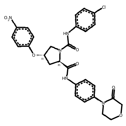 O=C(Nc1ccc(N2CCOCC2=O)cc1)[C@H]1C[C@H](Oc2ccc([N+](=O)[O-])cc2)CN1C(=O)Nc1ccc(Cl)cc1